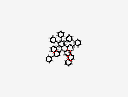 c1ccc(-c2ccc(N(c3cccc(-c4ccccc4)c3)c3c(-c4ccccc4)c(-c4ccccc4)c(-c4ccccc4)c(-c4ccccc4)c3-c3nc(-c4ccccc4)nc(-c4ccccc4)n3)cc2)cc1